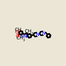 COc1ccc(-c2[nH]c3ccc(C4CCN(C5CCN(Cc6ccccc6)CC5)CC4)cc3c2C)cc1OC